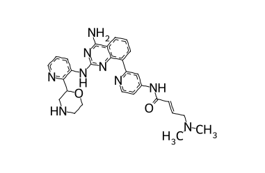 CN(C)C/C=C/C(=O)Nc1ccnc(-c2cccc3c(N)nc(Nc4cccnc4C4CNCCO4)nc23)c1